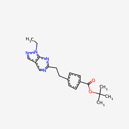 CCn1ncc2cnc(CCc3ccc(C(=O)OC(C)(C)C)cc3)nc21